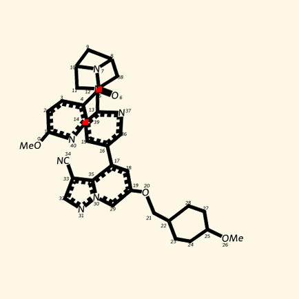 COc1ccc(C(=O)N2C3CC2CN(c2ccc(-c4cc(OCC5CCC(OC)CC5)cn5ncc(C#N)c45)cn2)C3)cn1